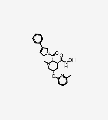 Cc1cccc(O[C@H]2C[C@H](C(=O)NO)[C@@H](C(=O)N3CC=C(c4ccccc4)C3)N(C)C2)n1